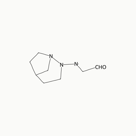 O=CC[N]N1CCC2CCN1C2